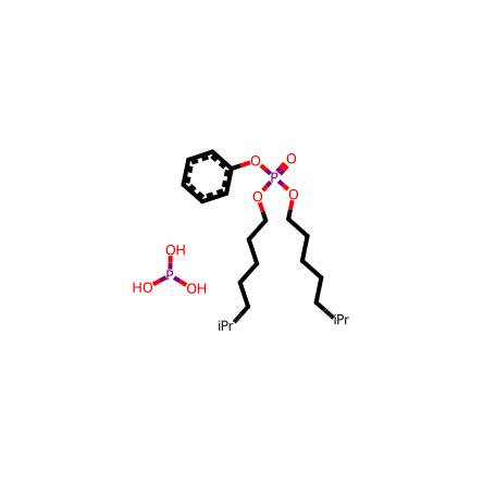 CC(C)CCCCCOP(=O)(OCCCCCC(C)C)Oc1ccccc1.OP(O)O